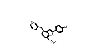 CCOC(=O)c1nnc(CC2=CSC=CC2)c2cc(-c3ccc(Cl)cc3)sc12